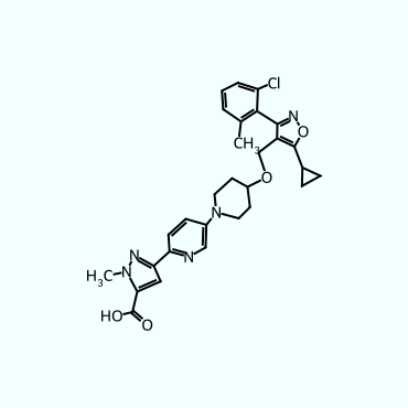 Cc1cccc(Cl)c1-c1noc(C2CC2)c1COC1CCN(c2ccc(-c3cc(C(=O)O)n(C)n3)nc2)CC1